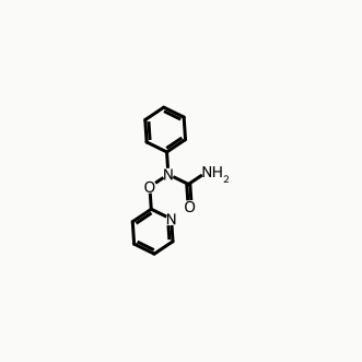 NC(=O)N(Oc1ccccn1)c1ccccc1